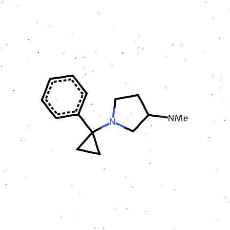 CNC1CCN(C2(c3ccccc3)CC2)C1